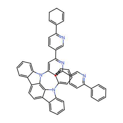 C1=CC(c2ccc(-c3cc(-n4c5ccccc5c5ccc6c7ccccc7n(-c7ccccc7)c6c54)cc(-c4ccc(-c5ccccc5)nc4)n3)cn2)=CCC1